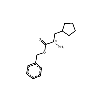 N[C@@H](CC1CCCC1)C(=O)OCc1ccccc1